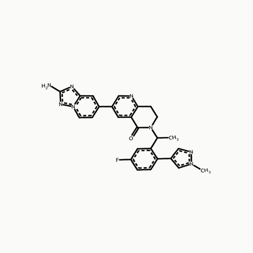 CC(c1cc(F)ccc1-c1cnn(C)c1)N1CCc2ncc(-c3ccn4nc(N)nc4c3)cc2C1=O